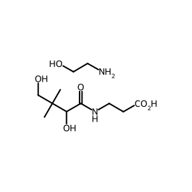 CC(C)(CO)C(O)C(=O)NCCC(=O)O.NCCO